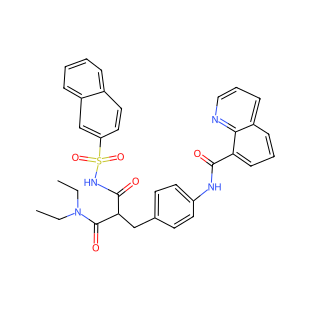 CCN(CC)C(=O)C(Cc1ccc(NC(=O)c2cccc3cccnc23)cc1)C(=O)NS(=O)(=O)c1ccc2ccccc2c1